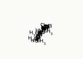 Cc1cc(NC(=O)c2cnn(-c3ncc(Cl)cc3Cl)c2C)cnc1N1CCC(C(C)(C)O)CC1